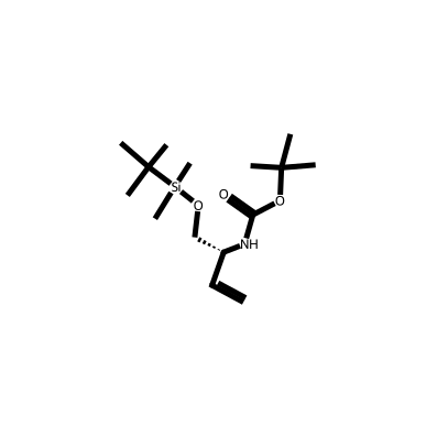 C=C[C@H](CO[Si](C)(C)C(C)(C)C)NC(=O)OC(C)(C)C